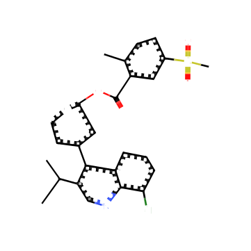 Cc1ccc(S(C)(=O)=O)cc1C(=O)Oc1cccc(-c2c(C(C)C)cnc3c(Cl)cccc23)c1